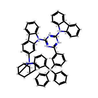 c1ccc([Si](c2ccccc2)(c2ccccc2)c2cccc(-c3nc(-n4c5ccccc5c5ccccc54)nc(-n4c5ccccc5c5ccc(N6C7CC8CC(C7)CC6C8)cc54)n3)c2)cc1